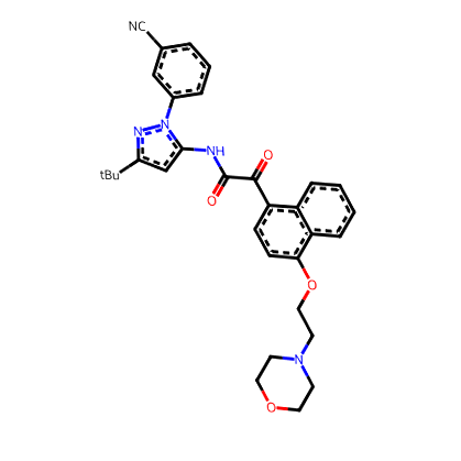 CC(C)(C)c1cc(NC(=O)C(=O)c2ccc(OCCN3CCOCC3)c3ccccc23)n(-c2cccc(C#N)c2)n1